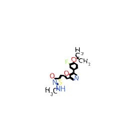 CNC1=NC(=O)/C(=C/c2cc3cncc(-c4ccc(OC(C)C)c(F)c4)c3o2)S1